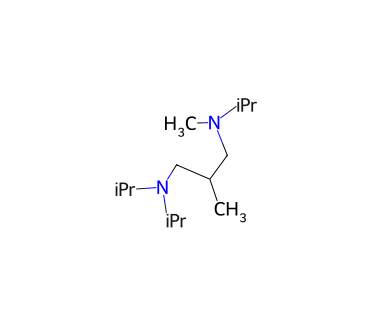 CC(CN(C)C(C)C)CN(C(C)C)C(C)C